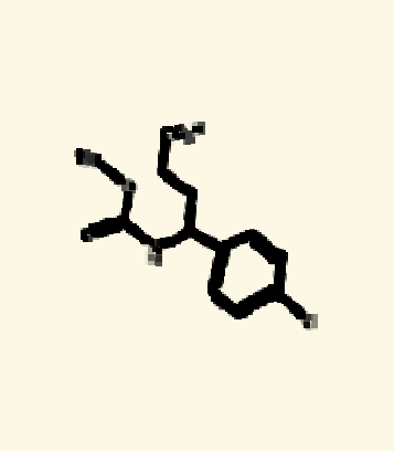 CC(C)(C)OC(=O)NC(CCC(=O)O)c1ccc(Cl)cc1